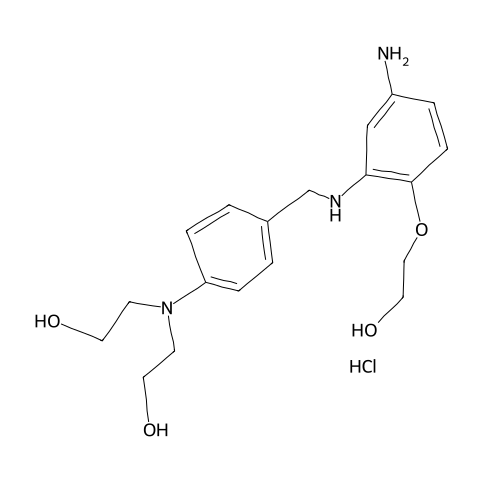 Cl.Nc1ccc(OCCO)c(NCc2ccc(N(CCO)CCO)cc2)c1